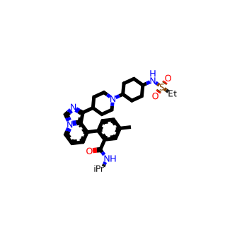 CCS(=O)(=O)NC1CCC(N2CCC(c3ncn4cccc(-c5ccc(C)cc5C(=O)NC(C)C)c34)CC2)CC1